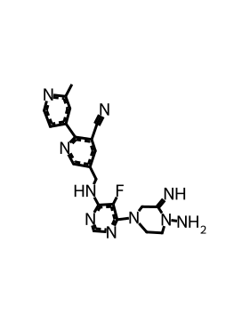 Cc1cc(-c2ncc(CNc3ncnc(N4CCN(N)C(=N)C4)c3F)cc2C#N)ccn1